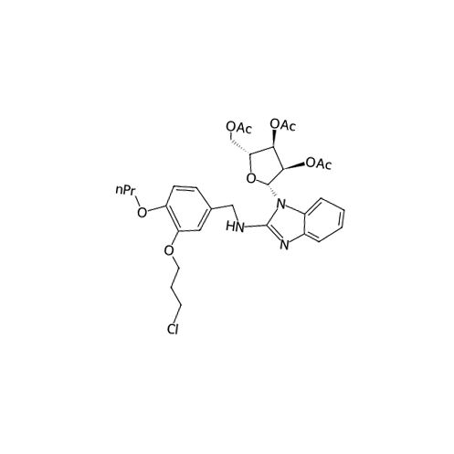 CCCOc1ccc(CNc2nc3ccccc3n2[C@@H]2O[C@H](COC(C)=O)[C@@H](OC(C)=O)[C@H]2OC(C)=O)cc1OCCCCl